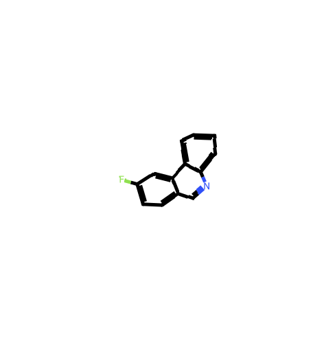 Fc1ccc2cnc3ccccc3c2c1